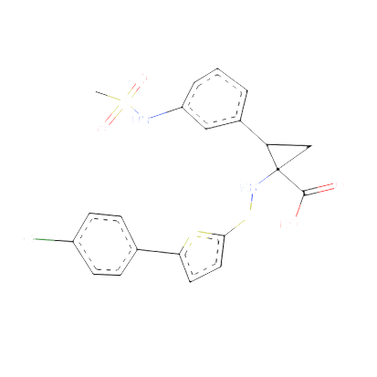 CS(=O)(=O)Nc1cccc(C2CC2(NSc2ccc(-c3ccc(Cl)cc3)s2)C(=O)O)c1